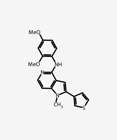 COc1ccc(Nc2nccc3c2cc(-c2ccsc2)n3C)c(OC)c1